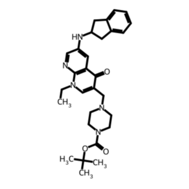 CCn1cc(CN2CCN(C(=O)OC(C)(C)C)CC2)c(=O)c2cc(NC3Cc4ccccc4C3)cnc21